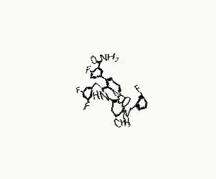 C[C@H](CC(=O)N[C@@H](Cc1cc(F)cc(F)c1)c1ncccc1-c1ccc(F)c(C(N)=O)c1)C(=O)Nc1cccc(F)c1